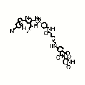 CNc1cc(-c2ccc3cc(C#N)cnn23)ncc1-c1nnc([C@H]2CC[C@H](NC(=O)CCOCCNc3ccc4c(c3)C(=O)N(C3CCC(=O)NC3=O)C4=O)CC2)s1